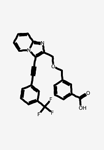 O=C(O)c1cccc(COCc2nc3ccccn3c2C#Cc2cccc(C(F)(F)F)c2)c1